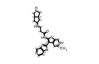 C[C@@H]1Cc2c(sc(NC(=O)CCNC3CC4CNCC4C3)c2-c2nc3cnccc3s2)CN1